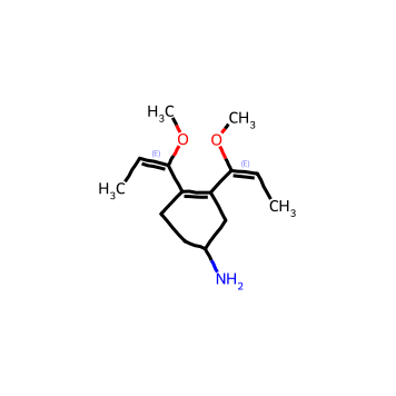 C/C=C(/OC)C1=C(/C(=C\C)OC)CC(N)CC1